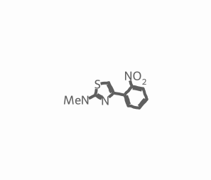 CNc1nc(-c2ccccc2[N+](=O)[O-])cs1